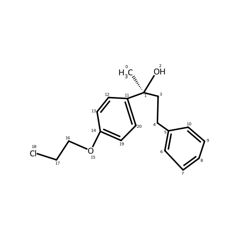 C[C@](O)(CCc1ccccc1)c1ccc(OCCCl)cc1